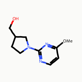 COc1ccnc(N2CCC(CO)C2)n1